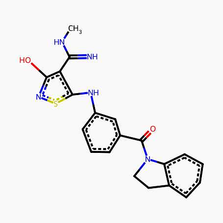 CNC(=N)c1c(O)nsc1Nc1cccc(C(=O)N2CCc3ccccc32)c1